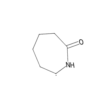 O=C1CCCC[CH]N1